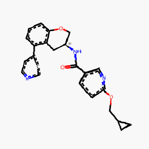 O=C(N[C@@H]1COc2cccc(-c3ccncc3)c2C1)c1ccc(OCC2CC2)nc1